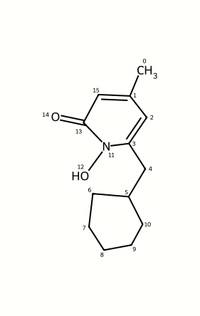 Cc1cc(CC2CCCCC2)n(O)c(=O)c1